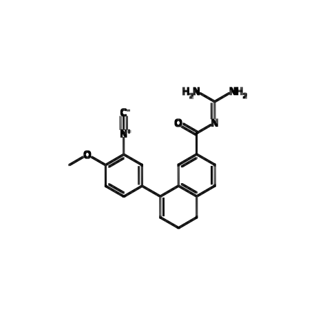 [C-]#[N+]c1cc(C2=CCCc3ccc(C(=O)N=C(N)N)cc32)ccc1OC